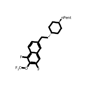 CCCCC[C@H]1CC[C@H](CCc2ccc3c(F)c(OC(F)(F)F)c(F)cc3c2)CC1